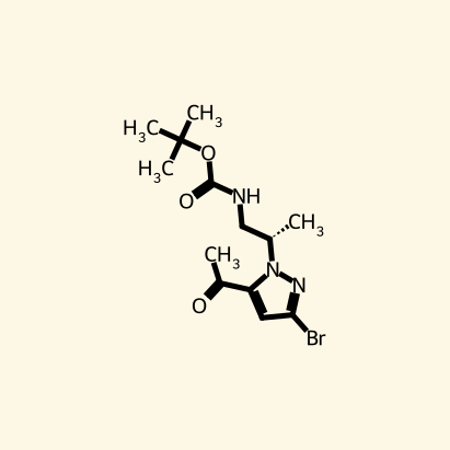 CC(=O)c1cc(Br)nn1[C@@H](C)CNC(=O)OC(C)(C)C